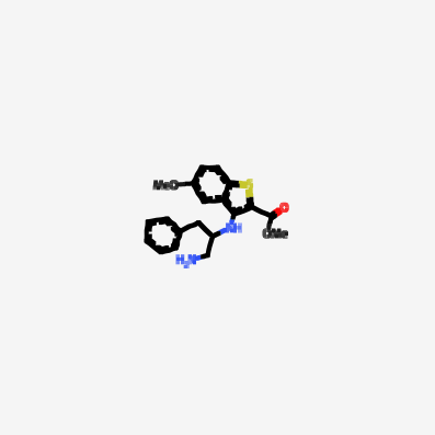 COC(=O)c1sc2ccc(OC)cc2c1NC(CN)Cc1ccccc1